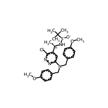 COc1ccc(CN(Cc2ccc(OC)cc2)c2cc([C@@H](C)N[S+]([O-])C(C)(C)C)c(Cl)nn2)cc1